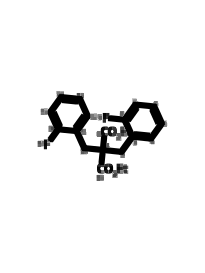 CCOC(=O)C(Cc1ccccc1F)(Cc1ccccc1F)C(=O)OCC